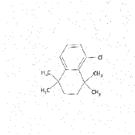 CC1(C)CCC(C)(C)c2c(Cl)cccc21